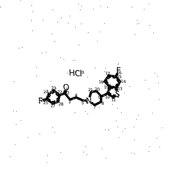 Cl.O=C(CCCN1CCC(c2csc3cc(F)ccc23)CC1)c1ccc(F)cc1